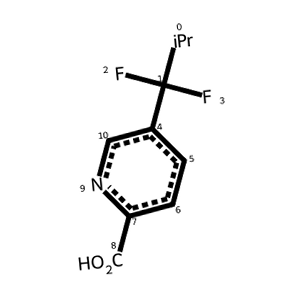 CC(C)C(F)(F)c1ccc(C(=O)O)nc1